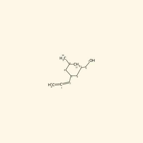 C=C=CC(CCCO)CC(C)C